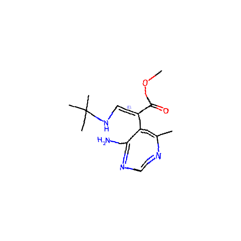 COC(=O)/C(=C/NC(C)(C)C)c1c(C)ncnc1N